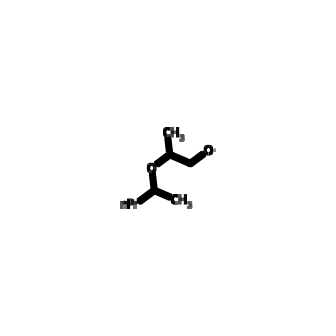 CCCC(C)OC(C)C[O]